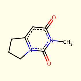 Cn1c(=O)cc2n(c1=O)CCC2